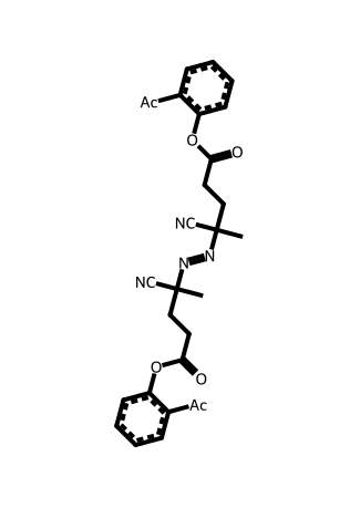 CC(=O)c1ccccc1OC(=O)CCC(C)(C#N)N=NC(C)(C#N)CCC(=O)Oc1ccccc1C(C)=O